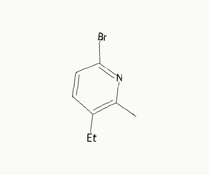 CCc1ccc(Br)nc1C